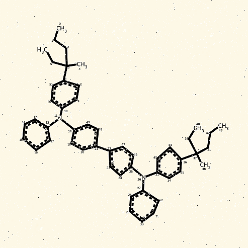 CCCC(C)(CC)c1ccc(N(c2ccccc2)c2ccc(-c3ccc(N(c4ccccc4)c4ccc(C(C)(CC)CCC)cc4)cc3)cc2)cc1